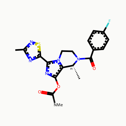 CNC(=O)Oc1nc(-c2nc(C)ns2)n2c1[C@@H](C)N(C(=O)c1ccc(F)cc1)CC2